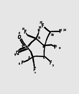 O=S1(=O)C(F)(F)C(F)C(F)(C(F)F)C1(F)F